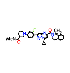 CNC(=O)C1CCCN(c2ccc(-c3cc4nc(C(=O)N5CCc6ccccc6[C@H]5C)cc(C5CC5)n4n3)c(F)c2)C1